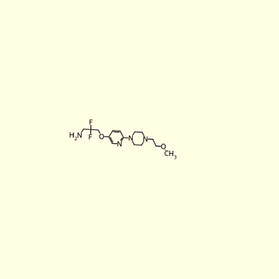 COCCN1CCN(c2ccc(OCC(F)(F)CN)cn2)CC1